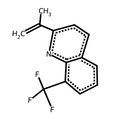 C=C(C)c1ccc2cccc(C(F)(F)F)c2n1